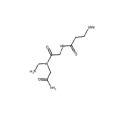 CSCCC(=O)NCC(=O)N(CN)CC(N)=O